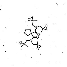 CC1(CN(CC2(C)CO2)C(=O)C2(C(=O)N(CC3(C)CO3)CC3(C)CO3)CCCC2)CO1